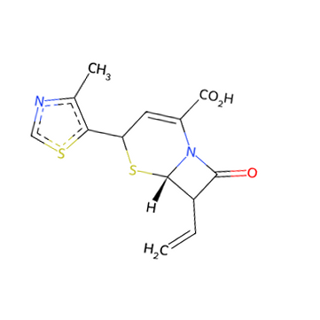 C=CC1C(=O)N2C(C(=O)O)=CC(c3scnc3C)S[C@@H]12